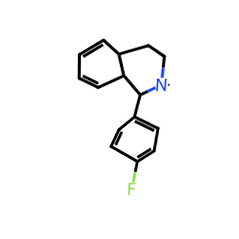 Fc1ccc(C2[N]CCC3C=CC=CC32)cc1